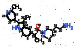 Cc1cc(-c2[nH]c3ccc(C(C)C(=O)N4CCCC(CCN)C4)cc3c2C(C)C)ccn1